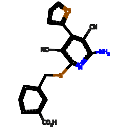 N#Cc1c(N)nc(SCc2cccc(C(=O)O)c2)c(C#N)c1-c1cccs1